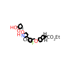 CCOC(=O)[C@H]1[C@@H]2Cc3cc(OCc4cc(-c5ccc(OC[C@H]6CCC[C@H](O)[C@@H]6O)nc5C)ccc4F)ccc3[C@@H]21